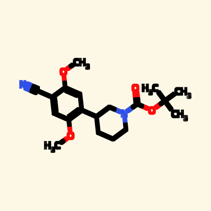 COc1cc(C2CCCN(C(=O)OC(C)(C)C)C2)c(OC)cc1C#N